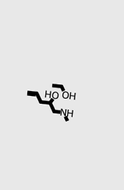 C=CCC(O)CNC.CCO